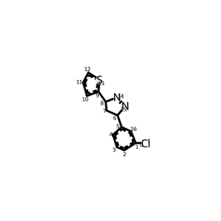 Clc1cccc(C2CC(c3cccs3)N=N2)c1